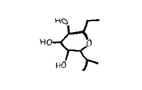 CCC1OC(C(C)C)C(O)C(O)C1O